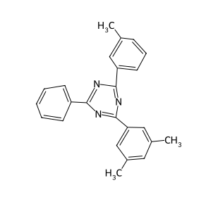 Cc1cccc(-c2nc(-c3ccccc3)nc(-c3cc(C)cc(C)c3)n2)c1